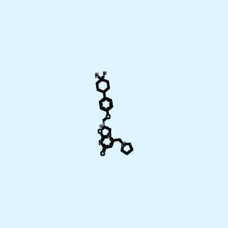 O=c1cc(CN2CCCC2)n2c(n1)O[C@H](COc1ccc(C3CCC(F)(F)CC3)cc1)C2